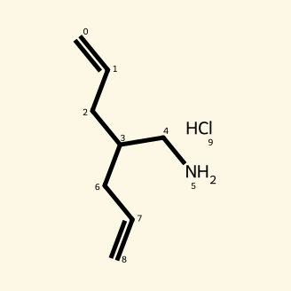 C=CCC(CN)CC=C.Cl